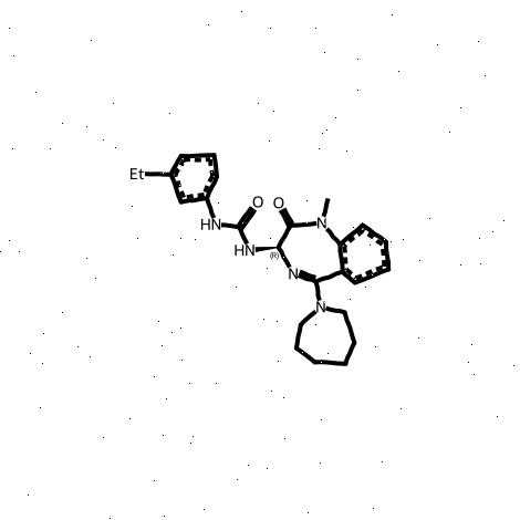 CCc1cccc(NC(=O)N[C@@H]2N=C(N3CCCCCC3)c3ccccc3N(C)C2=O)c1